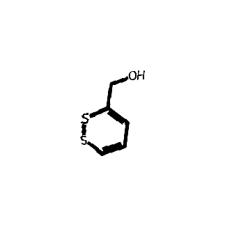 OCC1=CC=CSS1